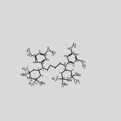 CCCCC1(C)CC(N(CCCCN(c2nc(OCC)nc(OCC)n2)C2CC(C)(CCCC)NC(C)(CCCC)C2)c2nc(OCC)nc(OCC)n2)CC(C)(CCCC)N1